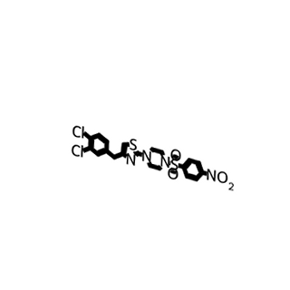 O=[N+]([O-])c1ccc(S(=O)(=O)N2CCN(c3nc(Cc4ccc(Cl)c(Cl)c4)cs3)CC2)cc1